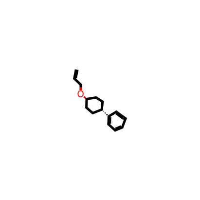 C=CCO[C@H]1CC[C@H](c2ccccc2)CC1